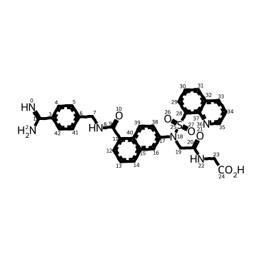 N=C(N)c1ccc(CNC(=O)c2cccc3cc(N(CC(=O)NCC(=O)O)S(=O)(=O)c4cccc5cccnc45)ccc23)cc1